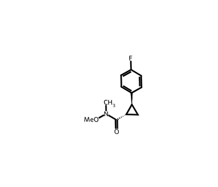 CON(C)C(=O)[C@H]1C[C@@H]1c1ccc(F)cc1